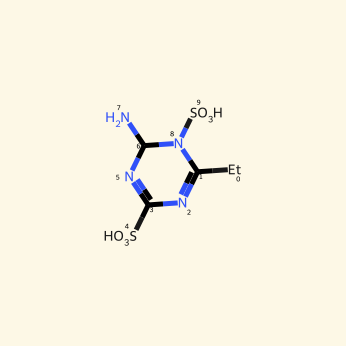 CCC1=NC(S(=O)(=O)O)=NC(N)N1S(=O)(=O)O